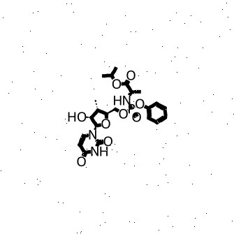 CC(C)OC(=O)C(C)NP(=O)(OC[C@H]1O[C@@H](n2ccc(=O)[nH]c2=O)[C@H](O)[C@@H]1C)Oc1ccccc1